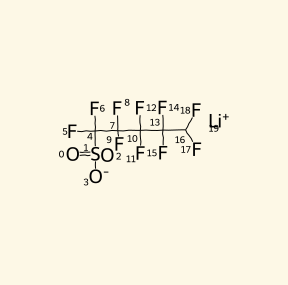 O=S(=O)([O-])C(F)(F)C(F)(F)C(F)(F)C(F)(F)C(F)F.[Li+]